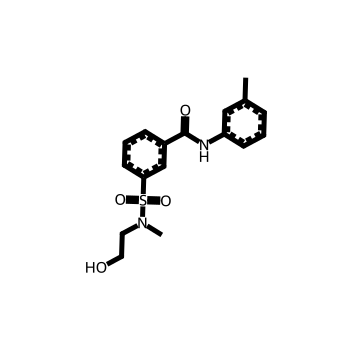 Cc1cccc(NC(=O)c2cccc(S(=O)(=O)N(C)CCO)c2)c1